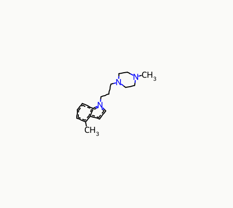 Cc1cccc2c1ccn2CCCN1CCN(C)CC1